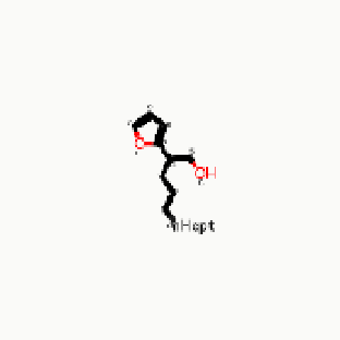 CCCCCCCCCCC(CO)c1ccco1